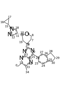 Cc1nc2nc([C@H]3CCO[C@@H](c4cnn(C5CC5)c4)C3)nc(-c3ccc4c(c3)CCC4)c2nc1C